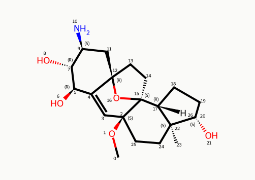 CO[C@@]12C=C3[C@@H](O)[C@H](O)[C@@H](N)C[C@]34CC[C@]1(O4)[C@@H]1CC[C@H](O)[C@@]1(C)CC2